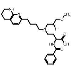 COCC(F)CN(CCCCc1ccc2c(n1)NCCC2)CCC(NC(=O)c1ccccc1)C(=O)O